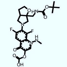 CNn1cc(OC(=O)O)c(=O)c2cc(F)c(N3CC4CCOC4(CNC(=O)OC(C)(C)C)C3)c(F)c21